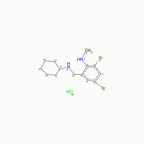 CNc1c(Br)cc(Br)cc1CNC1CCCCC1.Cl